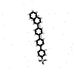 C[Si](C)(C)c1ccc(-c2ccc(-c3ccc(-c4ccc5ccccc5c4)cc3)cc2)cc1